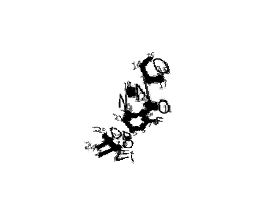 CCC1(C)OB(c2cc(F)c3c(=O)n(C4CCOC4)cnc3c2)OC1(C)C